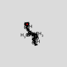 COc1cc(N2CC(C(=O)NC34CC5CC(CC(C5)C3)C4)C2)ccc1Nc1ncc2c(C)cc(=O)n(-c3cccc(NC(=O)C4CC4)c3)c2n1